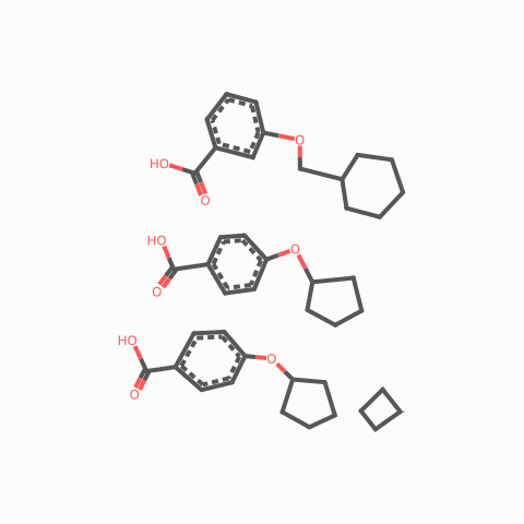 O=C(O)c1ccc(OC2CCCC2)cc1.O=C(O)c1ccc(OC2CCCC2)cc1.O=C(O)c1cccc(OCC2CCCCC2)c1.[CH]1CCC1